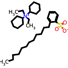 CCCCCCCCCCCCc1ccccc1S(=O)(=O)[O-].CC[N+](CC)(C1CCCCC1)C1CCCCC1